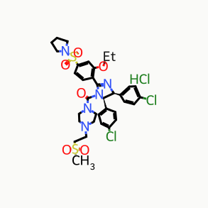 CCOc1cc(S(=O)(=O)N2CCCC2)ccc1C1=N[C@@H](c2ccc(Cl)cc2)[C@@H](c2ccc(Cl)cc2)N1C(=O)N1CCN(CCS(C)(=O)=O)CC1.Cl